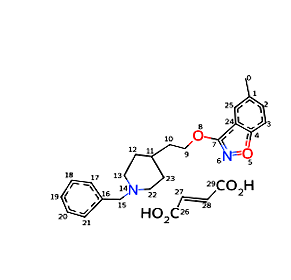 Cc1ccc2onc(OCCC3CCN(Cc4ccccc4)CC3)c2c1.O=C(O)C=CC(=O)O